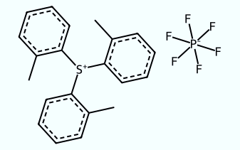 Cc1ccccc1[S+](c1ccccc1C)c1ccccc1C.F[P-](F)(F)(F)(F)F